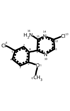 COc1ccc(Cl)cc1-c1ncc(Cl)nc1N